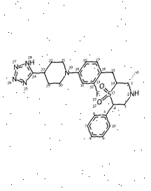 C[C@@H]1NCC(c2ccccc2)S(=O)(=O)C1Cc1ccc(N2CCC(c3nnn[nH]3)CC2)cc1F